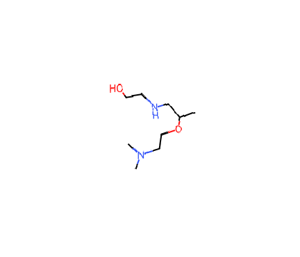 CC(CNCCO)OCCN(C)C